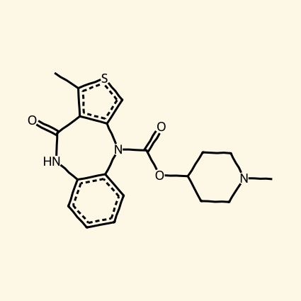 Cc1scc2c1C(=O)Nc1ccccc1N2C(=O)OC1CCN(C)CC1